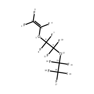 FC(F)=C(F)OC(F)(F)C(F)(F)OC(F)(F)C(F)(F)I